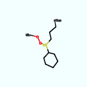 CCCCCCCCCCCC[SH](OOC(C)(C)C)C1CCCCC1